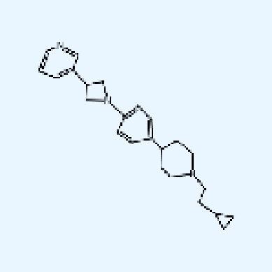 c1cncc(C2CN(c3ccc(C4CCN(CCC5CC5)CC4)cc3)C2)c1